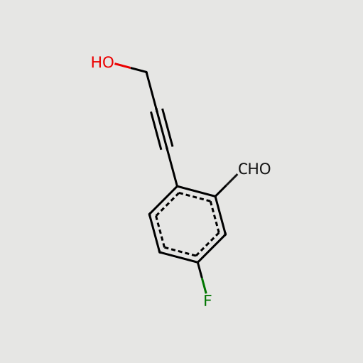 O=Cc1cc(F)ccc1C#CCO